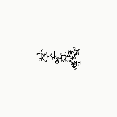 CC(C)N(CCCCNC(=O)c1ccc(C(=O)N(Cc2ncc[nH]2)Cc2ncc[nH]2)cn1)C(C)C